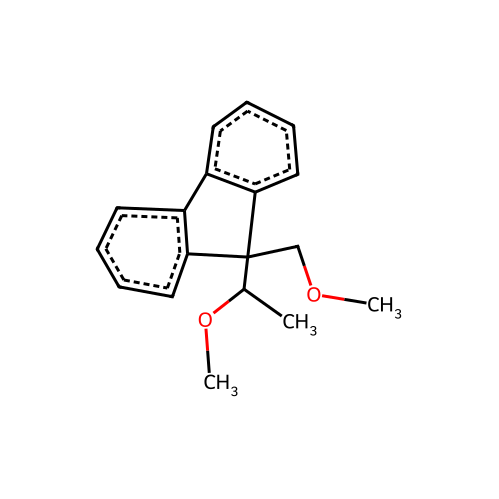 COCC1(C(C)OC)c2ccccc2-c2ccccc21